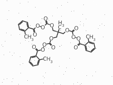 Cc1ccccc1C(=O)OOC(=O)OCC(C)(COC(=O)OOC(=O)c1ccccc1C)COC(=O)OOC(=O)c1ccccc1C